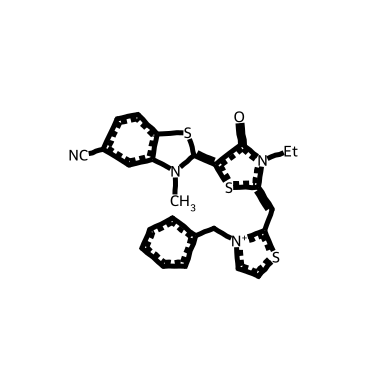 CCn1c(=O)/c(=C2\Sc3ccc(C#N)cc3N2C)s/c1=C\c1scc[n+]1Cc1ccccc1